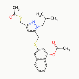 CC(=O)Oc1cc(SCc2cc(CSC(C)=O)nn2CC(C)C)cc2ccccc12